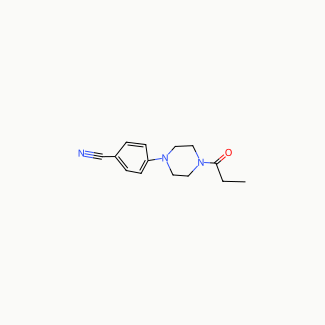 CCC(=O)N1CCN(c2ccc(C#N)cc2)CC1